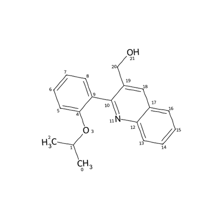 CC(C)Oc1ccccc1-c1nc2ccccc2cc1CO